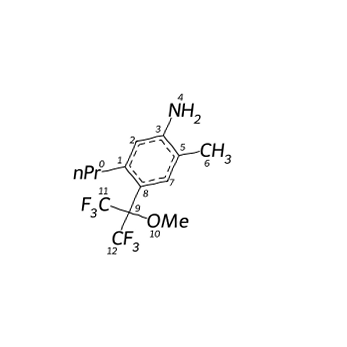 CCCc1cc(N)c(C)cc1C(OC)(C(F)(F)F)C(F)(F)F